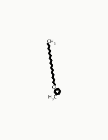 CCCCCCCCCCCCCCCCCCCOc1cccc(C)c1